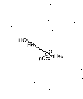 CCCCCCCCC(CCCCCC)C(=O)OCCCCCCCNCCCO